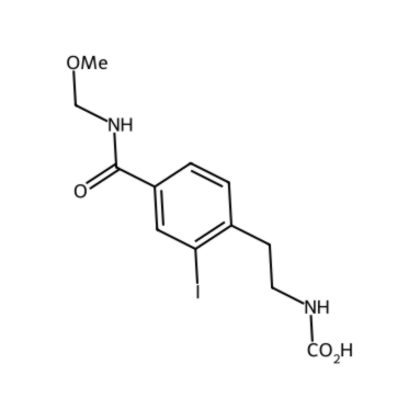 COCNC(=O)c1ccc(CCNC(=O)O)c(I)c1